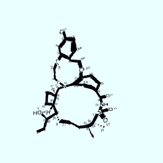 CC[C@@H](O)[C@H]1/C=C/C[C@H](C)[C@@H](C)S(=O)(=O)NC(=O)c2ccc3c(c2)N(CCCCc2cc(Cl)ccc2CO3)C[C@@H]2CC[C@H]21